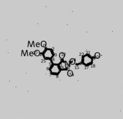 COc1ccc(-c2cccc3c2C(=O)N(OCc2ccc([O])cc2)C3=O)cc1OC